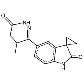 CC1CC(=O)NN=C1c1ccc2c(c1)C1(CC1)C(=O)N2